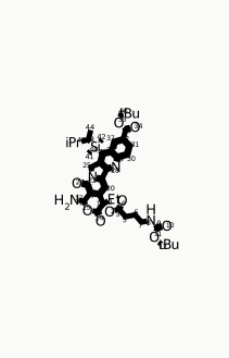 CCC1(OC(=O)CCCNC(=O)OC(C)(C)C)C(=O)OC(N)c2c1cc1n(c2=O)Cc2c-1nc1ccc(C(=O)OC(C)(C)C)cc1c2[Si](C)(C)C(C)C(C)C